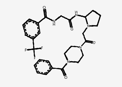 O=C(CNC(=O)c1cccc(C(F)(F)F)c1)NC1CCCN1CC(=O)N1CCN(C(=O)c2ccccc2)CC1